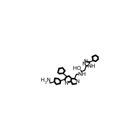 NCc1ccc(-c2nc3ccnc(CNC(O)Cc4nnc(-c5ccccc5)[nH]4)c3cc2-c2ccccc2)cc1